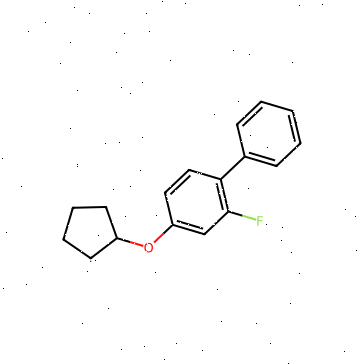 Fc1cc(OC2[CH]CCC2)ccc1-c1ccccc1